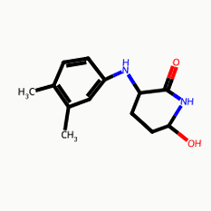 Cc1ccc(NC2CCC(O)NC2=O)cc1C